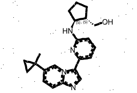 CC1(c2ccc3ncc(-c4cccc(N[C@H]5CCC[C@@H]5CO)n4)n3c2)CC1